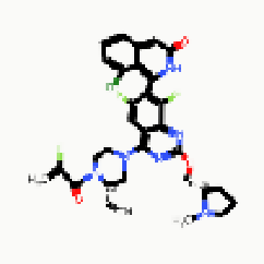 C=C(F)C(=O)N1CCN(c2nc(OC[C@@H]3CCCN3C)nc3c(F)c(-c4[nH]c(=O)cc5cccc(Cl)c45)c(F)cc23)C[C@@H]1CC#N